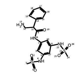 CS(=O)(=O)Nc1cc(NC(=O)C(CN)c2ccccc2)cc(NS(C)(=O)=O)c1